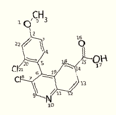 COc1ccc(-c2c(Cl)cnc3ccc(C(=O)O)cc23)c(Cl)c1